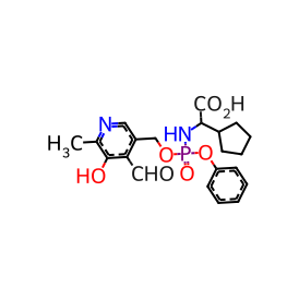 Cc1ncc(COP(=O)(NC(C(=O)O)C2CCCC2)Oc2ccccc2)c(C=O)c1O